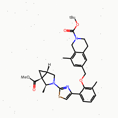 COC(=O)[C@@]12C[C@@H]1CN(c1nc(-c3cccc(C)c3OCc3cc(C)c4c(c3)CCN(C(=O)OC(C)(C)C)C4)cs1)[C@H]2C